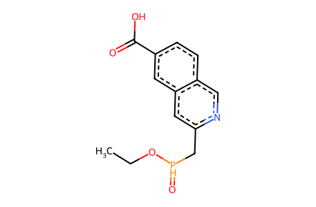 CCO[PH](=O)Cc1cc2cc(C(=O)O)ccc2cn1